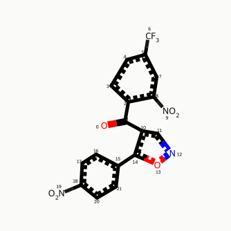 O=C(c1ccc(C(F)(F)F)cc1[N+](=O)[O-])c1cnoc1-c1ccc([N+](=O)[O-])cc1